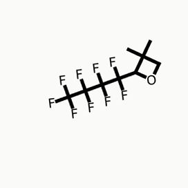 CC1(C)COC1C(F)(F)C(F)(F)C(F)(F)C(F)(F)F